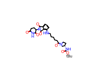 CC(C)(C)OC(=O)N[C@H]1CCN(C(=O)CCCCCNc2cccc3c2C(=O)N(C2CCC(=O)NC2=O)C3=O)C1